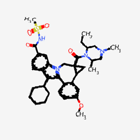 CCC1CN(C)CC(C)N1C(=O)C12CC1c1cc(OC)ccc1-c1c(C3CCCCC3)c3ccc(C(=O)NS(C)(=O)=O)cc3n1C2